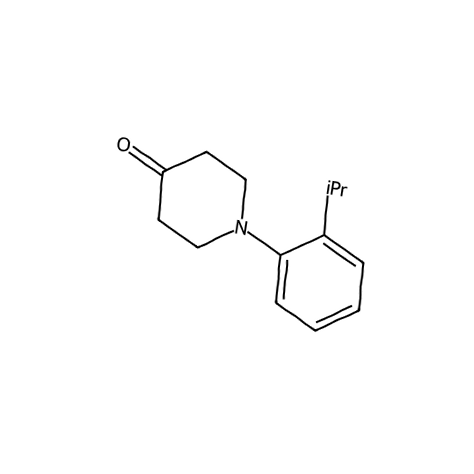 CC(C)c1ccccc1N1CCC(=O)CC1